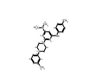 Cc1ccc(Nc2cc(N(C)C)nc(N3CCN(c4cccc(C)c4)CC3)n2)cc1